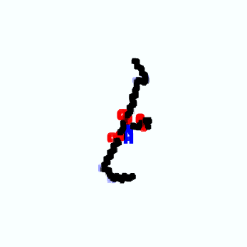 CCCCC/C=C\C/C=C\CCCCCCCC(=O)OCC(COC(=O)CCCCCCC/C=C\C/C=C\CCCCC)NCCC(=O)OC(C)(C)C